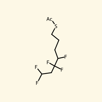 CC(=O)SCCCC(F)C(F)(F)CC(F)F